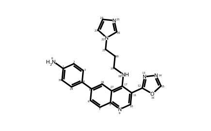 Nc1ccc(-c2ccc3ncc(-c4nnco4)c(NCCCn4ccnc4)c3c2)cc1